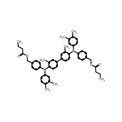 CCCC(=O)OCc1ccc(N(c2ccc(C)c(C)c2)c2ccc(-c3ccc(N(c4ccc(COC(=O)CCC)cc4)c4ccc(C)c(C)c4)c(C)c3)cc2C)cc1